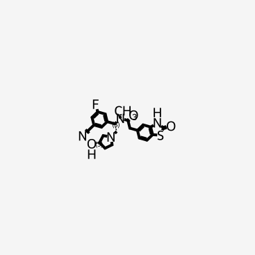 CN(C(=O)Cc1ccc2sc(=O)[nH]c2c1)[C@H](CN1CC[C@H](O)C1)c1cc(F)cc(C#N)c1